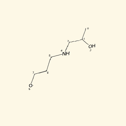 CC(O)CNCCC[O]